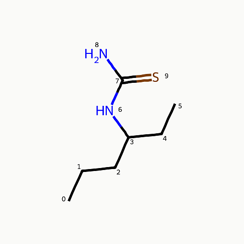 CCCC(CC)NC(N)=S